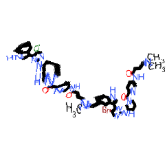 CN(C)C/C=C/C(=O)Nc1ccc(C(=O)N2CCC[C@@H](Nc3ncc(Br)c(-c4c[nH]c5ccc(CN(C)C/C=C/C(=O)Nc6ccc(C(=O)N7CCC[C@@H](Nc8ncc(Cl)c(-c9c[nH]c%10ccccc9%10)n8)C7)nc6)cc45)n3)C2)nc1